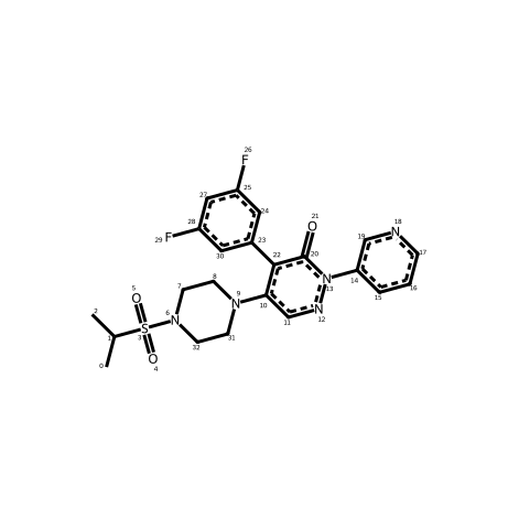 CC(C)S(=O)(=O)N1CCN(c2cnn(-c3cccnc3)c(=O)c2-c2cc(F)cc(F)c2)CC1